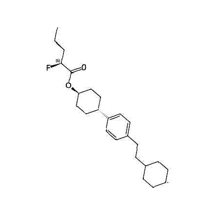 CCC[C@H](F)C(=O)O[C@H]1CC[C@H](c2ccc(CCC3CC[CH]CC3)cc2)CC1